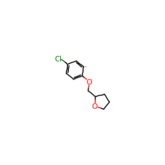 Clc1c[c]c(OCC2CCCO2)cc1